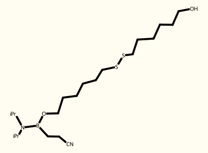 CC(C)N(B(CCC#N)OCCCCCCSSCCCCCCO)C(C)C